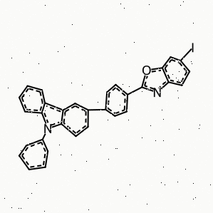 Ic1ccc2nc(-c3ccc(-c4ccc5c(c4)c4ccccc4n5-c4ccccc4)cc3)oc2c1